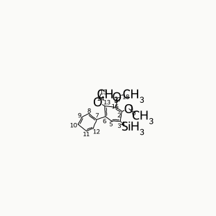 COc1c([SiH3])cc(-c2ccccc2)c(OC)c1OC